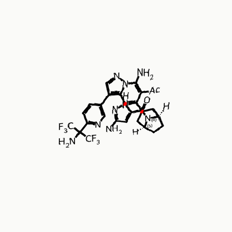 CC(=O)c1c(C2C[C@H]3CC[C@@H](C2)N3C(=O)c2cc(N)n[nH]2)nc2c(-c3ccc(C(N)(C(F)(F)F)C(F)(F)F)nc3)cnn2c1N